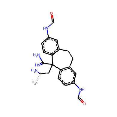 C[C@H](N)CC1(C(=N)N)c2ccc(NC=O)cc2CCc2cc(NC=O)ccc21